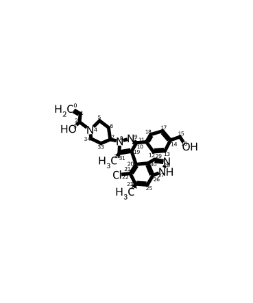 C=CC(O)N1CCC(n2nc(-c3ccc(CO)cc3)c(-c3c(Cl)c(C)cc4[nH]ncc34)c2C)CC1